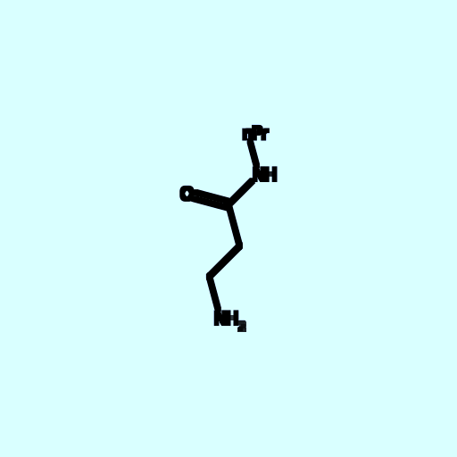 CCCNC(=O)CCN